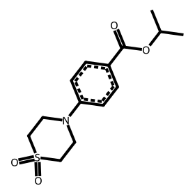 CC(C)OC(=O)c1ccc(N2CCS(=O)(=O)CC2)cc1